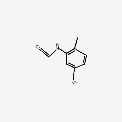 Cc1ccc(O)cc1N[C]=O